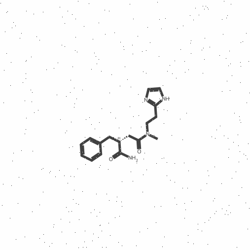 CN(CCc1ncc[nH]1)C(=O)C[C@@H](Cc1ccccc1)C(N)=O